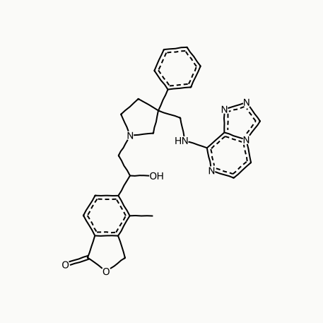 Cc1c(C(O)CN2CCC(CNc3nccn4cnnc34)(c3ccccc3)C2)ccc2c1COC2=O